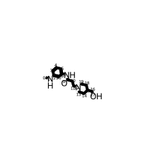 CNc1cccc(NC(=O)CCN2CCC(CO)CC2)c1